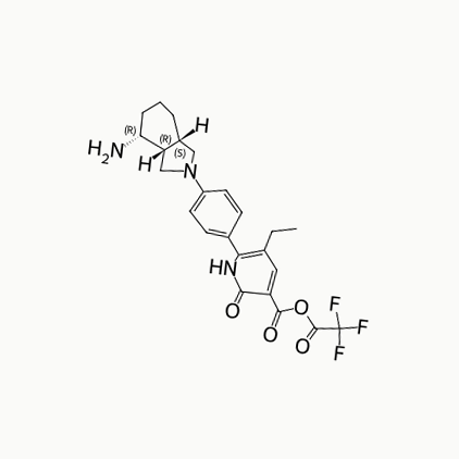 CCc1cc(C(=O)OC(=O)C(F)(F)F)c(=O)[nH]c1-c1ccc(N2C[C@H]3CCC[C@@H](N)[C@H]3C2)cc1